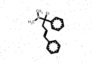 CCC(CC=Cc1ccccc1)(c1ccccc1)N(C)C